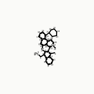 Cc1c2c(c(CC(C)C)c3ccccc13)Sc1cc3cccc(C4CCCCC4)c3c3cc[n+](C)c-2c13